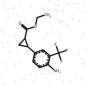 CCOC(=O)C1CC1c1ccc(N)c(C(F)(F)F)c1